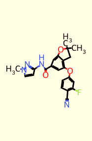 Cn1ccc(NC(=O)c2cc(Oc3ccc(C#N)c(F)c3)c3c(c2)OC(C)(C)C3)n1